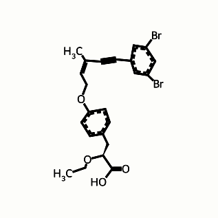 CCO[C@@H](Cc1ccc(OCC=C(C)C#Cc2cc(Br)cc(Br)c2)cc1)C(=O)O